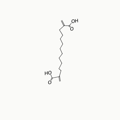 C=C(CCCCCCCCCCC(=C)C(=O)O)C(=O)O